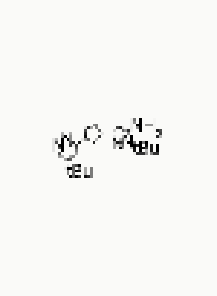 CC(C)(C)c1cnnc(C2CCC(c3cc(N)n(C(C)(C)C)n3)C2)c1